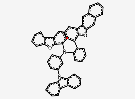 c1cc(N(c2ccccc2-c2cccc3c2oc2cc4ccccc4cc23)c2cccc3c2oc2ccccc23)cc(-n2c3ccccc3c3ccccc32)c1